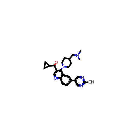 CN(C)CC1CCN(c2c(C(=O)C3CC3)cnc3ccc(-c4cnc(C#N)nc4)cc23)CC1